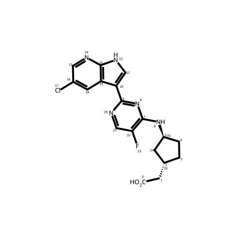 O=C(O)C[C@H]1CC[C@H](Nc2nc(-c3c[nH]c4ncc(Cl)cc34)ncc2F)C1